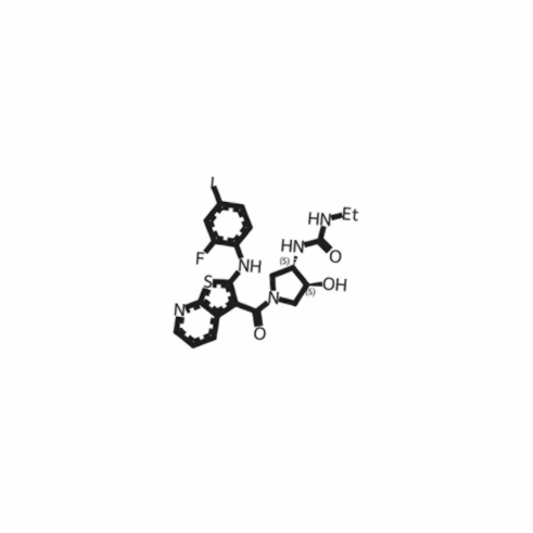 CCNC(=O)N[C@H]1CN(C(=O)c2c(Nc3ccc(I)cc3F)sc3ncccc23)C[C@@H]1O